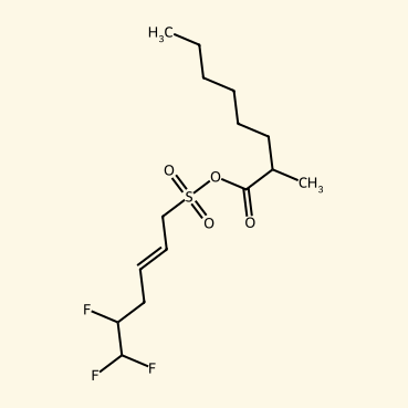 CCCCCCC(C)C(=O)OS(=O)(=O)CC=CCC(F)C(F)F